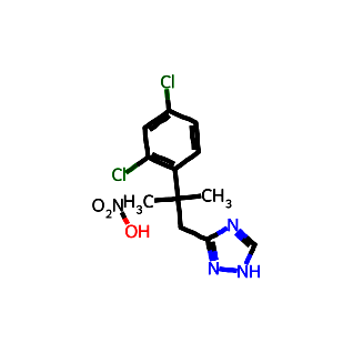 CC(C)(Cc1nc[nH]n1)c1ccc(Cl)cc1Cl.O=[N+]([O-])O